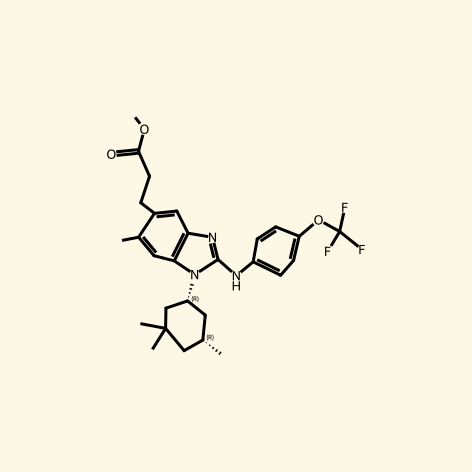 COC(=O)CCc1cc2nc(Nc3ccc(OC(F)(F)F)cc3)n([C@@H]3C[C@H](C)CC(C)(C)C3)c2cc1C